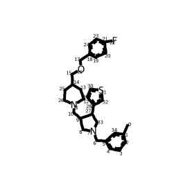 Cc1cccc(CN2CC(CN3CCC(COCc4ccc(F)cc4)CC3)C(c3ccsc3)C2)c1